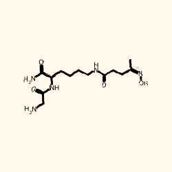 C/C(CCC(=O)NCCCCC(NC(=O)CN)C(N)=O)=N/O